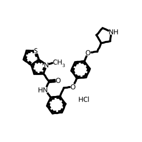 Cl.Cn1c(C(=O)Nc2ccccc2COc2ccc(OCC3CCNC3)cc2)cc2ccsc21